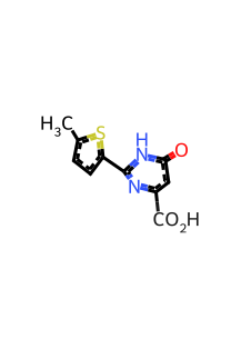 Cc1ccc(-c2nc(C(=O)O)cc(=O)[nH]2)s1